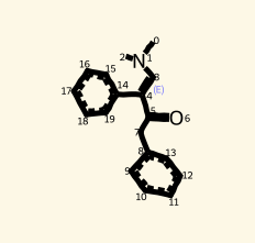 CN(C)/C=C(/C(=O)Cc1ccccc1)c1ccccc1